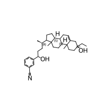 CC[C@]1(O)CCC2(C)C(=CCC3[C@@H]2CCC2(C)C([C@H](C)CCC(O)c4cccc(C#N)c4)CC[C@@H]32)C1